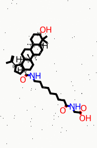 C=C(C)[C@@H]1CC[C@]2(C(=O)NCCCCCCCCC(=O)NCC(=O)O)CC[C@]3(C)[C@H](CCC4[C@@]5(C)CC[C@H](O)C(C)(C)[C@@H]5CC[C@]43C)[C@@H]12